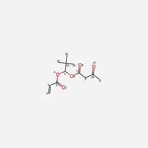 C=CC(=O)OC(OC(=O)CC(C)=O)C(C)(C)C